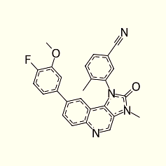 COc1cc(-c2ccc3ncc4c(c3c2)n(-c2cc(C#N)ccc2C)c(=O)n4C)ccc1F